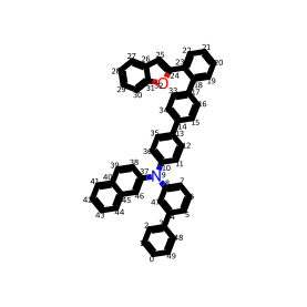 c1ccc(-c2cccc(N(c3ccc(-c4ccc(-c5ccccc5-c5cc6ccccc6o5)cc4)cc3)c3ccc4ccccc4c3)c2)cc1